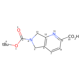 CC(C)(C)OC(=O)N1Cc2ccc(C(=O)O)nc2C1